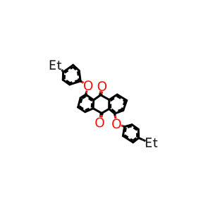 CCc1ccc(Oc2cccc3c2C(=O)c2cccc(Oc4ccc(CC)cc4)c2C3=O)cc1